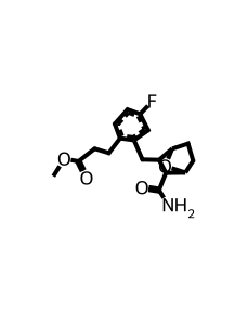 COC(=O)CCc1ccc(F)cc1CC1C2CCC(O2)C1C(N)=O